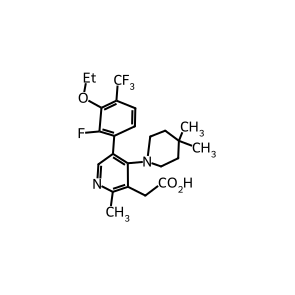 CCOc1c(C(F)(F)F)ccc(-c2cnc(C)c(CC(=O)O)c2N2CCC(C)(C)CC2)c1F